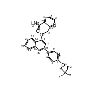 CC(F)(F)COc1ccc(-c2cc(OCc3ncccc3C(N)=O)c3cccnc3c2)cn1